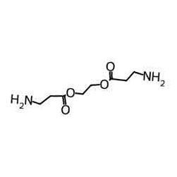 NCCC(=O)OCCOC(=O)CCN